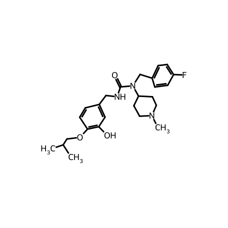 CC(C)COc1ccc(CNC(=O)N(Cc2ccc(F)cc2)C2CCN(C)CC2)cc1O